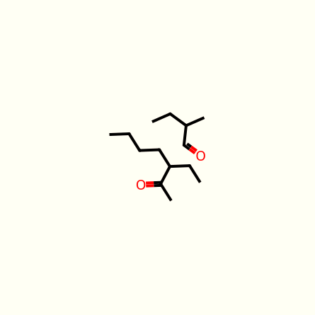 CCC(C)C=O.CCCCC(CC)C(C)=O